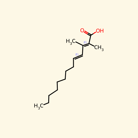 CCCCCCCC/C=C/C(C)=C(\C)C(=O)O